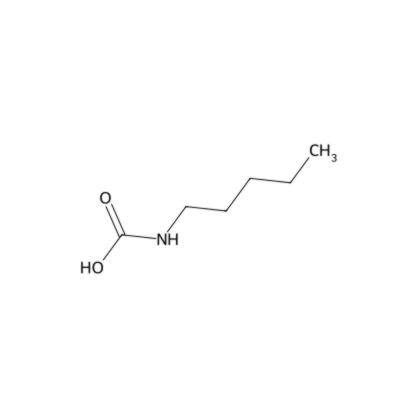 CCCCCNC(=O)O